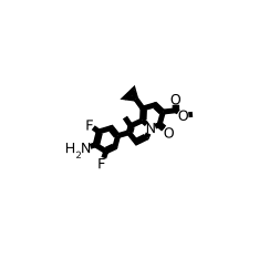 COC(=O)c1cc(C2CC2)c2c(C)c(-c3cc(F)c(N)c(F)c3)ccn2c1=O